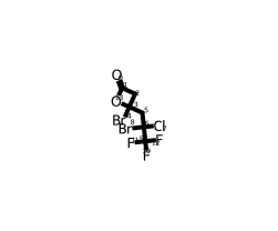 O=C1CC(Br)(CC(Cl)(Br)C(F)(F)F)O1